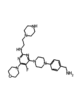 NCc1ccc(N2CCN(c3nc(NCCN4CCNCC4)nc(N4CCOCC4)c3F)CC2)cc1